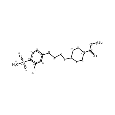 CC(C)(C)OC(=O)N1CCC(CCCCc2ccc(S(C)(=O)=O)c(Cl)c2)CC1